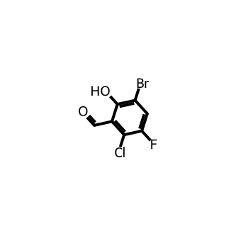 O=Cc1c(O)c(Br)cc(F)c1Cl